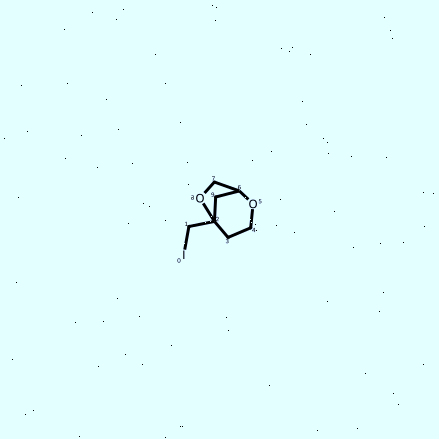 ICC12CCOC(CO1)C2